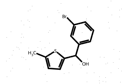 Cc1ccc(C(O)c2cccc(Br)c2)s1